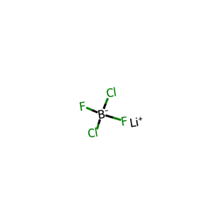 F[B-](F)(Cl)Cl.[Li+]